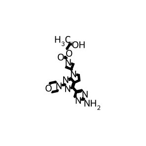 C[C@H](O)COC(=O)N1CC(N2CCc3c(-c4cnc(N)nc4)nc(N4CCOCC4)nc32)C1